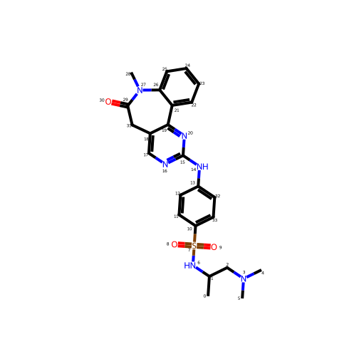 CC(CN(C)C)NS(=O)(=O)c1ccc(Nc2ncc3c(n2)-c2ccccc2N(C)C(=O)C3)cc1